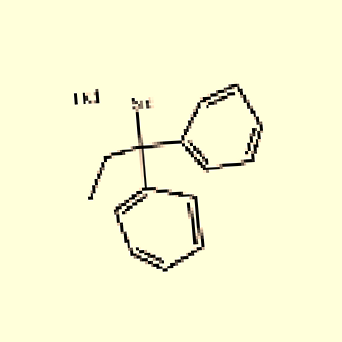 CC[C]([Sn])(c1ccccc1)c1ccccc1.Cl